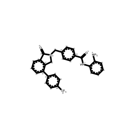 Nc1ccccc1NC(=O)c1ccc(CN2Cc3c(cccc3-c3ccc(C(F)(F)F)cc3)C2=O)cc1